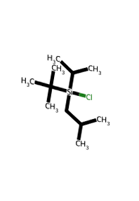 CC(C)C[Si](Cl)(C(C)C)C(C)(C)C